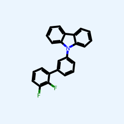 Fc1cccc(-c2cccc(-n3c4ccccc4c4ccccc43)c2)c1F